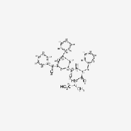 CC(NC(=O)C(Cc1ccccc1)NC(=O)C(CSC(=O)c1ccccc1)SC(=O)c1ccccc1)C(=O)O